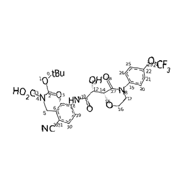 CC(C)(C)OC(=O)N(Cc1cc(NC(=O)[C@H](O)[C@H]2OCCN(c3ccc(OC(F)(F)F)cc3)C2=O)ccc1C#N)C(=O)O